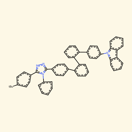 CC(C)(C)c1ccc(-c2nnc(-c3ccc(-c4ccccc4-c4ccccc4-c4ccc(-n5c6ccccc6c6ccccc65)cc4)cc3)n2-c2ccccc2)cc1